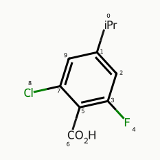 CC(C)c1cc(F)c(C(=O)O)c(Cl)c1